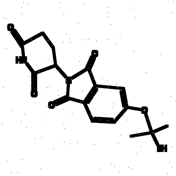 CC(C)(S)Oc1ccc2c(c1)C(=O)N(C1CCC(=O)NC1=O)C2=O